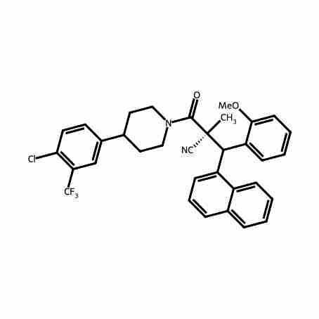 COc1ccccc1C(c1cccc2ccccc12)[C@@](C)(C#N)C(=O)N1CCC(c2ccc(Cl)c(C(F)(F)F)c2)CC1